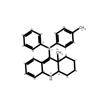 Cc1ccc(N(C2=C3C=CC=CC3NC3CCCCC23C)c2ccccc2)cc1